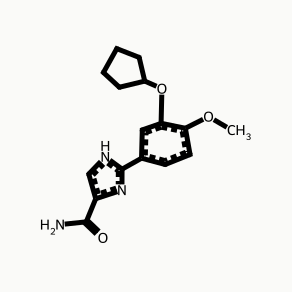 COc1ccc(-c2nc(C(N)=O)c[nH]2)cc1OC1CCCC1